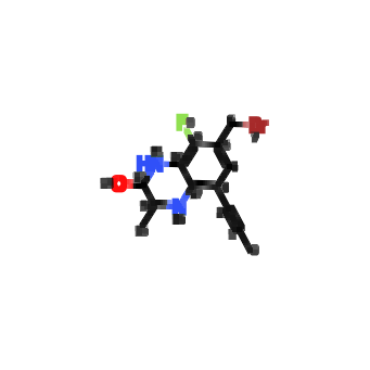 CC#Cc1cc(CBr)c(F)c2[nH]c(=O)c(C)nc12